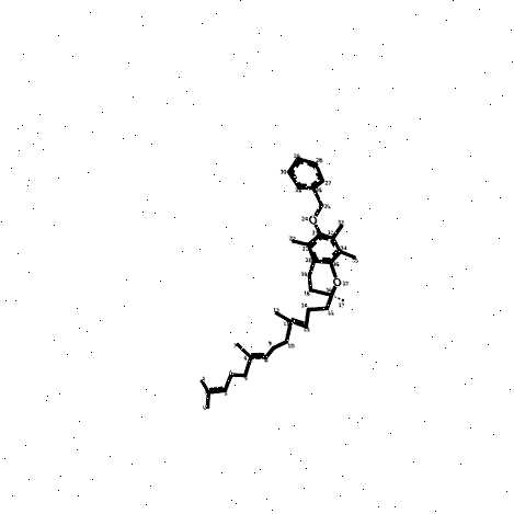 CC(C)=CCC/C(C)=C/CC/C(C)=C/CC[C@@]1(C)CCc2c(C)c(OCc3ccccc3)c(C)c(C)c2O1